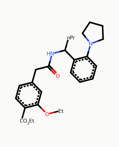 CCCC(NC(=O)Cc1ccc(C(=O)OCC)c(OCC)c1)c1ccccc1N1CCCC1